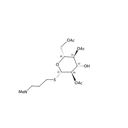 CNCCCS[C@@H]1O[C@H](COC(C)=O)[C@@H](OC(C)=O)[C@H](O)[C@H]1OC(C)=O